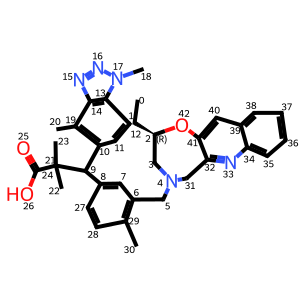 CC[C@@H]1CN(Cc2cc(C(c3ccc4c(nnn4C)c3C)C(C)(C)C(=O)O)ccc2C)Cc2nc3ccccc3cc2O1